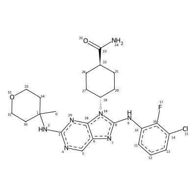 CC1(Nc2ncc3nc(Nc4cccc(Cl)c4F)n([C@H]4CC[C@H](C(N)=O)CC4)c3n2)CCOCC1